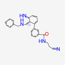 N#CCCNC(=O)c1cccc(C2=CC=CC(=N)/C2=C\NCc2ccccc2)c1